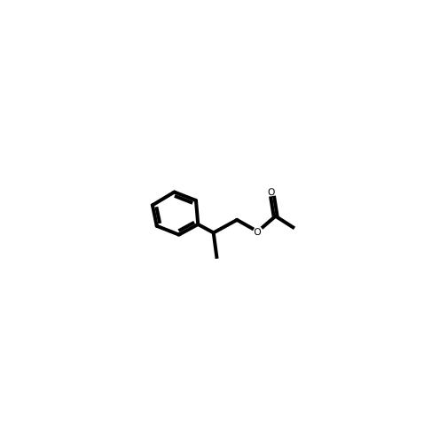 CC(=O)OCC(C)c1ccccc1